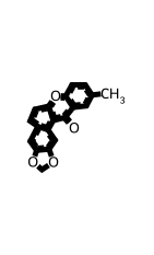 Cc1ccc2oc3ccc4cc5c(cc4c3c(=O)c2c1)OCO5